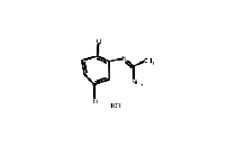 CC(N)=Nc1cc(Cl)ccc1Cl.Cl